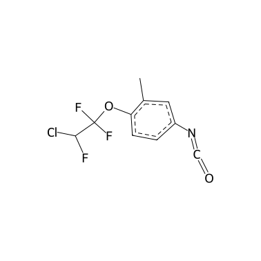 Cc1cc(N=C=O)ccc1OC(F)(F)C(F)Cl